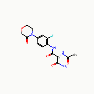 CC(C)(C)C(=O)N[C@H](C(N)=O)C(=O)Nc1ccc(N2CCOCC2=O)cc1F